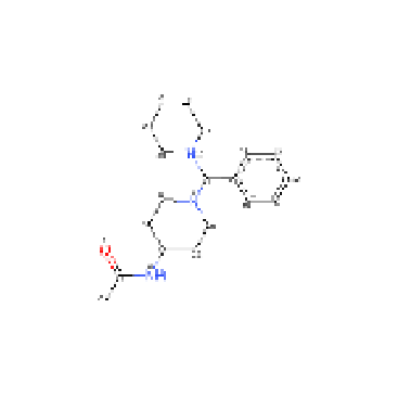 CC(=O)NC1CCN(C(c2ccccc2)N2CCCCC2)CC1